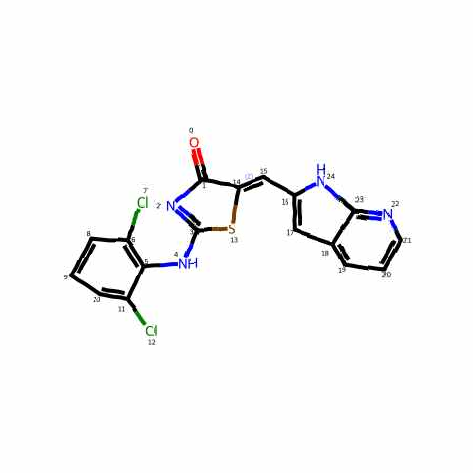 O=C1N=C(Nc2c(Cl)cccc2Cl)S/C1=C\c1cc2cccnc2[nH]1